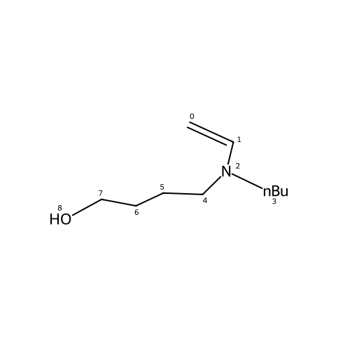 C=CN(CCCC)CCCCO